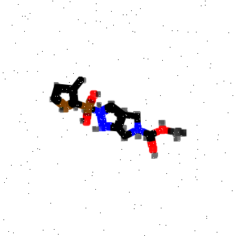 Cc1ccsc1S(=O)(=O)n1cc2c(n1)CN(C(=O)OC(C)(C)C)C2